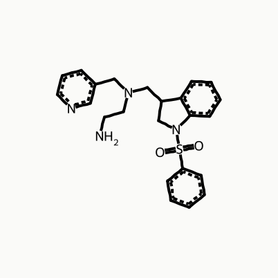 NCCN(Cc1cccnc1)CC1CN(S(=O)(=O)c2ccccc2)c2ccccc21